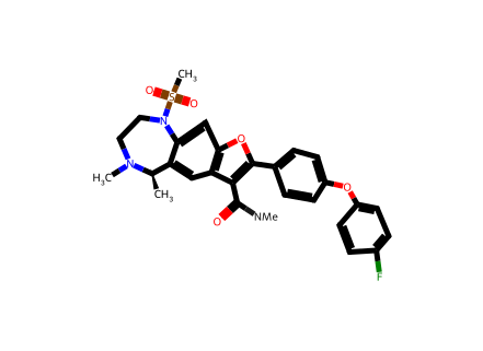 CNC(=O)c1c(-c2ccc(Oc3ccc(F)cc3)cc2)oc2cc3c(cc12)[C@@H](C)N(C)CCN3S(C)(=O)=O